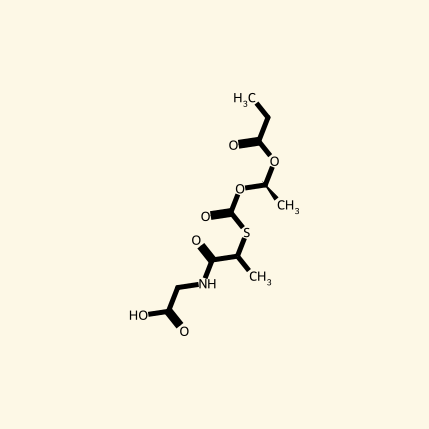 CCC(=O)O[C@@H](C)OC(=O)SC(C)C(=O)NCC(=O)O